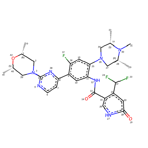 C[C@@H]1CN(c2nccc(-c3cc(NC(=O)c4c[nH]c(=O)cc4C(F)F)c(N4C[C@@H](C)N(C)[C@@H](C)C4)cc3F)n2)C[C@H](C)O1